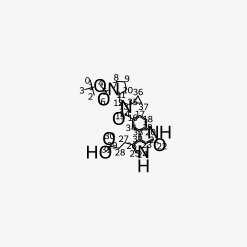 CC(C)(C)OC(=O)N1CCCC1CN(C(=O)c1ccc2[nH]c(=O)c3[nH]cc(CCC(=O)O)c3c2c1)C1CC1